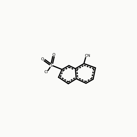 N#Cc1cccc2ccc(S(=O)(=O)Cl)cc12